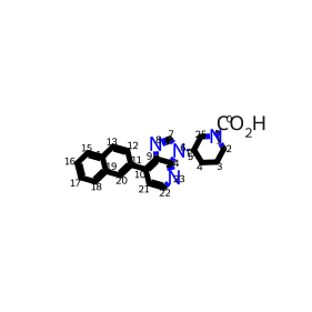 O=C(O)N1CCC[C@H](n2cnc3c(-c4ccc5ccccc5c4)ccnc32)C1